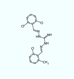 Cc1cccc(Cl)c1/C=N/NC(=N)N/N=C/c1c(Cl)cccc1Cl